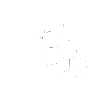 CCc1cc(N(C)Cc2nc3c(C)ccc(C)c3o2)c(=O)[nH]c1C